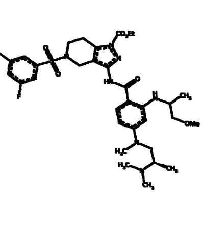 CCOC(=O)n1nc(NC(=O)c2ccc(N(C)C[C@@H](C)N(C)C)cc2NC(C)COC)c2c1CCN(S(=O)(=O)c1cc(F)cc(F)c1)C2